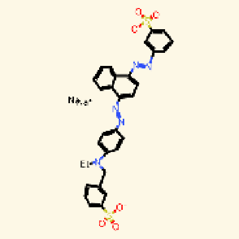 CCN(Cc1cccc(S(=O)(=O)[O-])c1)c1ccc(N=Nc2ccc(N=Nc3cccc(S(=O)(=O)[O-])c3)c3ccccc23)cc1.[Na+].[Na+]